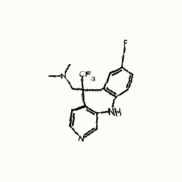 CN(C)CC1(C(F)(F)F)c2ccncc2Nc2ccc(F)cc21